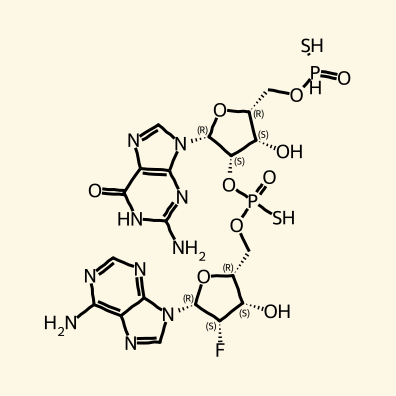 Nc1nc2c(ncn2[C@@H]2O[C@H](CO[PH](=O)S)[C@H](O)[C@@H]2OP(=O)(S)OC[C@H]2O[C@@H](n3cnc4c(N)ncnc43)[C@@H](F)[C@H]2O)c(=O)[nH]1